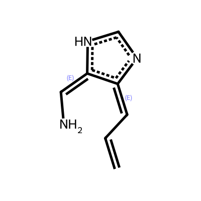 C=C/C=c1/nc[nH]/c1=C/N